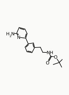 CC(C)(C)OC(=O)NCCc1cccc(-c2cccc(N)n2)c1